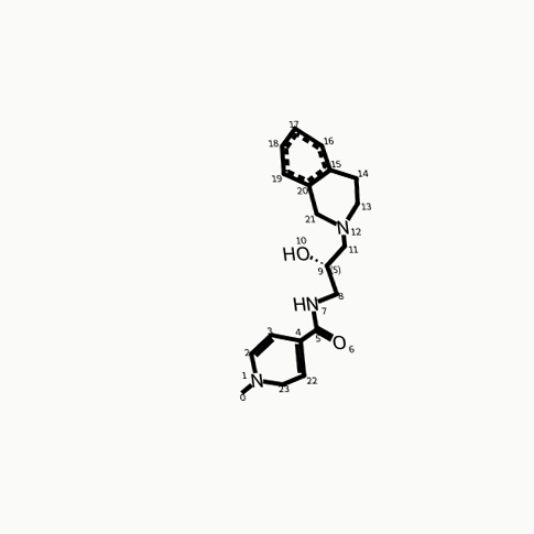 CN1C=CC(C(=O)NC[C@H](O)CN2CCc3ccccc3C2)=CC1